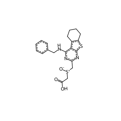 O=C(O)C[S+]([O-])Cc1nc(NCc2ccccc2)c2c3c(sc2n1)CCCC3